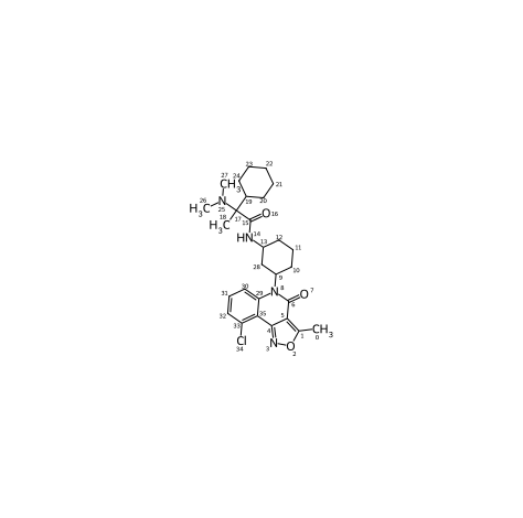 Cc1onc2c1c(=O)n(C1CCCC(NC(=O)C(C)(C3CCCCC3)N(C)C)C1)c1cccc(Cl)c21